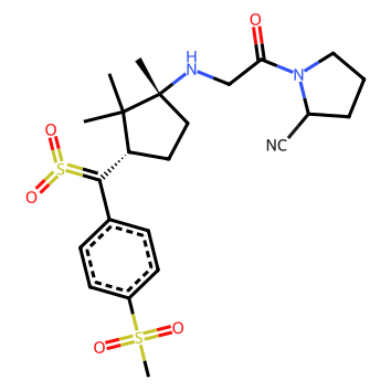 CC1(C)[C@@H](C(c2ccc(S(C)(=O)=O)cc2)=S(=O)=O)CC[C@@]1(C)NCC(=O)N1CCCC1C#N